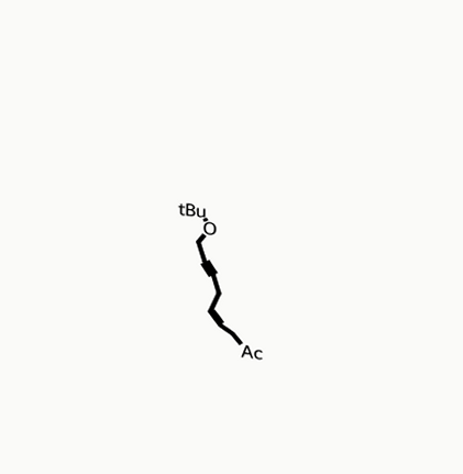 CC(=O)C/C=C\CC#CCOC(C)(C)C